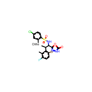 COc1cc(Cl)ccc1S(=O)(=O)NC(c1n[nH]c(=O)o1)C(C)c1c(Br)ccc(F)c1C